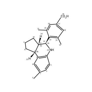 Cc1ccc2c(c1)[C@@H]1CCC[C@@H]1[C@@H](c1c(C)cc(C(=O)O)cc1C)N2